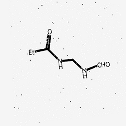 CCC(=O)NCNC=O